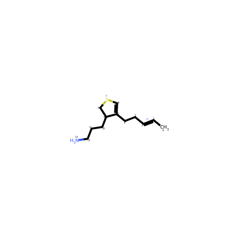 C/C=C/CCC1=CSCC1CCCN